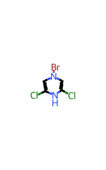 ClC1=CN(Br)C=C(Cl)N1